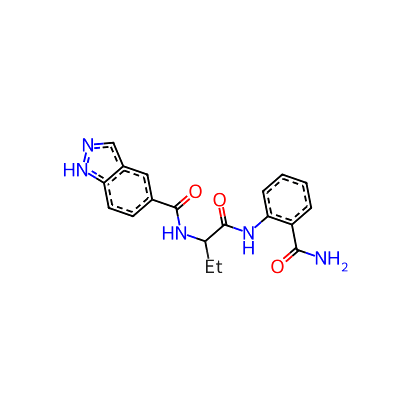 CCC(NC(=O)c1ccc2[nH]ncc2c1)C(=O)Nc1ccccc1C(N)=O